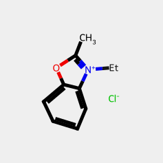 CC[n+]1c(C)oc2ccccc21.[Cl-]